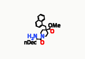 CCCCCCCCCC[C@H](N)C(=O)N1CCC(Cc2cccc3ccccc23)(C(=O)OC)CC1